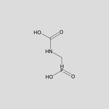 O=C(O)NC[PH](=O)O